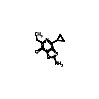 CCn1nc(C2CC2)c2sc(N)nc2c1=O